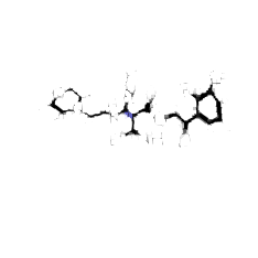 CCC(=N)/C(C(=O)OCC(=O)c1cccc(C(F)(F)F)c1F)=C(/N)NCCN1CCOCC1